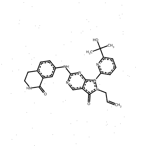 C=CCn1c(=O)c2cnc(Nc3ccc4c(c3)C(=O)NCC4)nc2n1-c1cccc(C(C)(C)O)n1